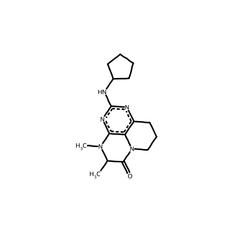 CC1C(=O)N2CCCc3nc(NC4CCCC4)nc(c32)N1C